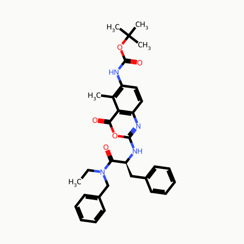 CCN(Cc1ccccc1)C(=O)[C@H](Cc1ccccc1)Nc1nc2ccc(NC(=O)OC(C)(C)C)c(C)c2c(=O)o1